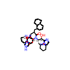 NC(=O)[C@H](Cc1c[nH]cn1)N(C(=O)C(Cc1cccc2ccccc12)Cc1cccc2ccccc12)[C@@H](CC1CCCCC1)[C@@H](O)c1ncc[nH]1